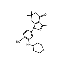 Cc1nn(-c2ccc(C#N)c(NC3CCSCC3)c2)c2c1C(=O)CC(C)(C)C2